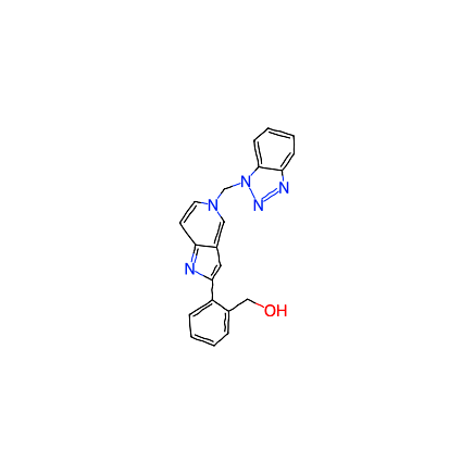 OCc1ccccc1-c1cc2cn(Cn3nnc4ccccc43)ccc-2n1